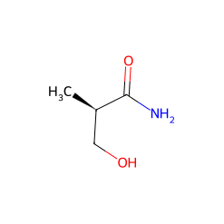 C[C@H](CO)C(N)=O